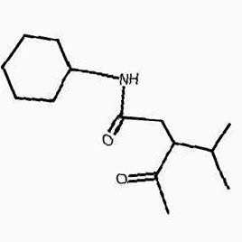 CC(=O)C(CC(=O)NC1CCCCC1)C(C)C